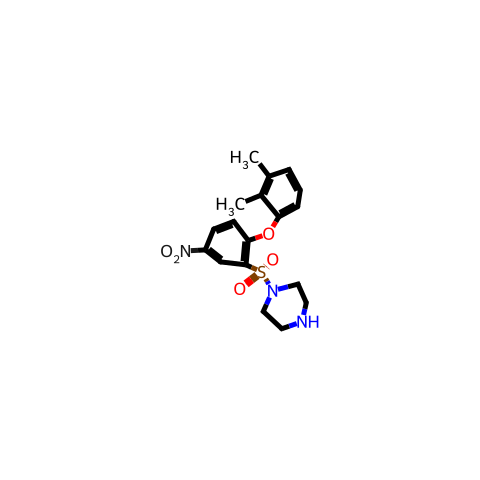 Cc1cccc(Oc2ccc([N+](=O)[O-])cc2S(=O)(=O)N2CCNCC2)c1C